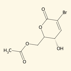 CC(=O)OCC1OC(=O)C(Br)=C[C@@H]1O